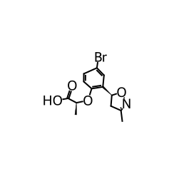 CC1=NO[C@H](c2cc(Br)ccc2O[C@@H](C)C(=O)O)C1